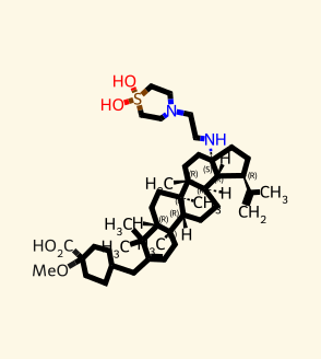 C=C(C)[C@@H]1CC[C@]2(NCCN3CCS(O)(O)CC3)CC[C@]3(C)[C@H](CC[C@@H]4[C@@]5(C)CC=C(CC6CCC(OC)(C(=O)O)CC6)C(C)(C)[C@@H]5CC[C@]43C)[C@@H]12